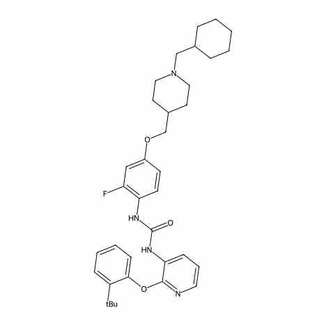 CC(C)(C)c1ccccc1Oc1ncccc1NC(=O)Nc1ccc(OCC2CCN(CC3CCCCC3)CC2)cc1F